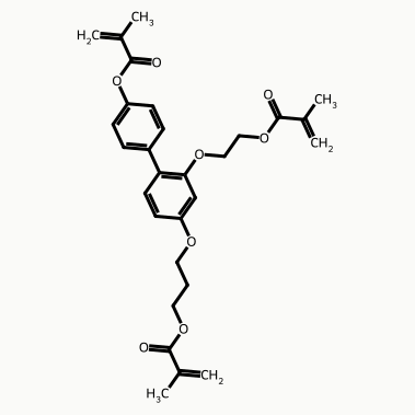 C=C(C)C(=O)OCCCOc1ccc(-c2ccc(OC(=O)C(=C)C)cc2)c(OCCOC(=O)C(=C)C)c1